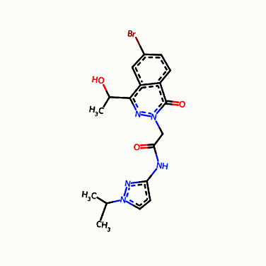 CC(O)c1nn(CC(=O)Nc2ccn(C(C)C)n2)c(=O)c2ccc(Br)cc12